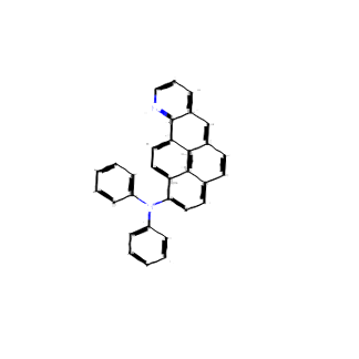 c1ccc(N(c2ccccc2)c2ccc3ccc4cc5cccnc5c5ccc2c3c45)cc1